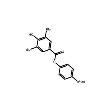 CCCCCc1ccc(OC(=O)c2cc(C(C)(C)C)c(O)c(C(C)(C)C)c2)cc1